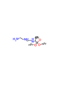 CCCO[Si](OCCC)(OCCC)C(CC)NCCNCCN